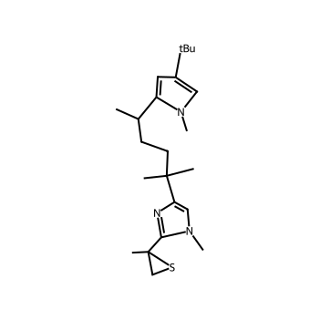 CC(CCC(C)(C)c1cn(C)c(C2(C)CS2)n1)c1cc(C(C)(C)C)cn1C